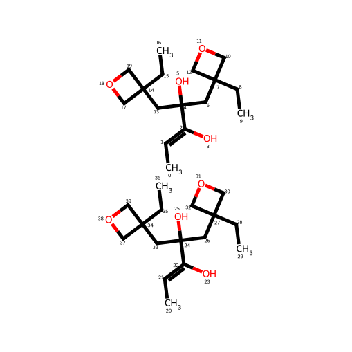 CC=C(O)C(O)(CC1(CC)COC1)CC1(CC)COC1.CC=C(O)C(O)(CC1(CC)COC1)CC1(CC)COC1